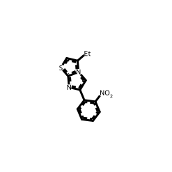 CCc1csc2nc(-c3ccccc3[N+](=O)[O-])cn12